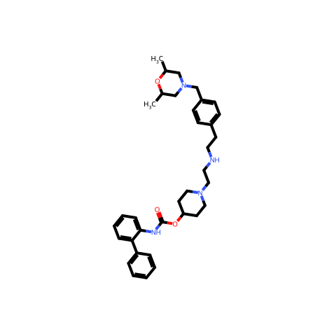 CC1CN(Cc2ccc(CCNCCN3CCC(OC(=O)Nc4ccccc4-c4ccccc4)CC3)cc2)CC(C)O1